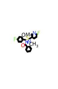 COc1cc(F)ccc1C1SC(c2ccc(F)nc2)=NN1C(=O)c1ccccc1C